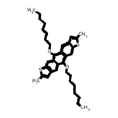 CCCCCCCCOc1c2cc3cc(C)sc3cc2c(OCCCCCCCC)c2cc3cc(C)sc3cc12